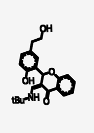 CC(C)(C)N/C=C1\C(=O)c2ccccc2OC1c1cc(CCO)ccc1O